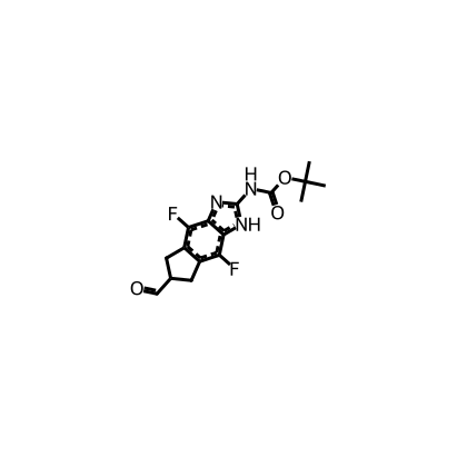 CC(C)(C)OC(=O)Nc1nc2c(F)c3c(c(F)c2[nH]1)CC(C=O)C3